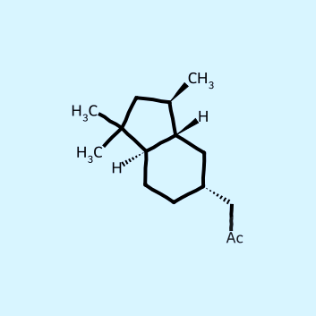 CC(=O)C[C@@H]1CC[C@@H]2[C@@H](C1)[C@H](C)CC2(C)C